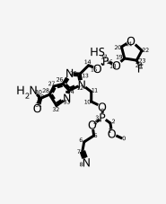 COCP(OCCC#N)OCCn1c(COP(S)OC2COCC2F)nc2cc(C(N)=O)cnc21